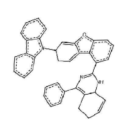 C1=CC2NC(c3cccc4oc5c(c34)=CCC(n3c4ccccc4c4ccccc43)C=5)=NC(c3ccccc3)=C2CC1